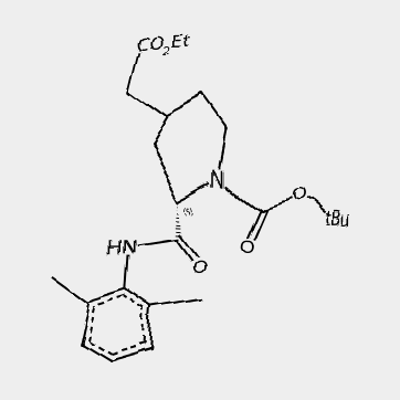 CCOC(=O)CC1CCN(C(=O)OC(C)(C)C)[C@H](C(=O)Nc2c(C)cccc2C)C1